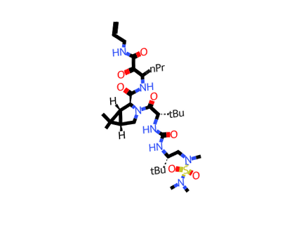 C=CCNC(=O)C(=O)C(CCC)NC(=O)[C@@H]1[C@@H]2[C@H](CN1C(=O)[C@@H](NC(=O)N[C@H](CN(C)S(=O)(=O)N(C)C)C(C)(C)C)C(C)(C)C)C2(C)C